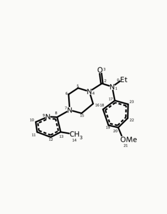 CCN(C(=O)N1CCN(c2ncccc2C)CC1)c1ccc(OC)cc1